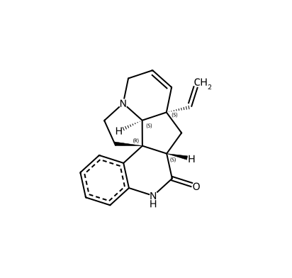 C=C[C@]12C=CCN3CC[C@@]4(c5ccccc5NC(=O)[C@H]4C1)[C@@H]32